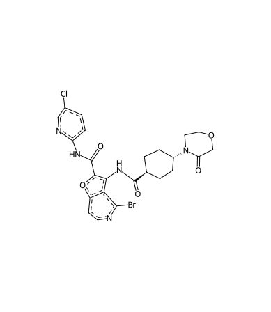 O=C(Nc1ccc(Cl)cn1)c1oc2ccnc(Br)c2c1NC(=O)[C@H]1CC[C@H](N2CCOCC2=O)CC1